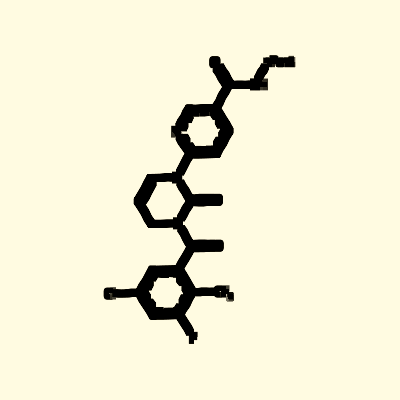 CCCCCNC(=O)c1ccc(N2C=CCN(C(=O)c3cc(Cl)cc(F)c3C(F)(F)F)C2=O)nc1